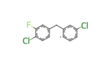 Fc1cc(Cc2[c]ccc(Cl)c2)ccc1Cl